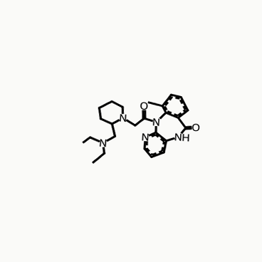 CCN(CC)CC1CCCCN1CC(=O)N1c2ncccc2NC(=O)c2cccc(C)c21